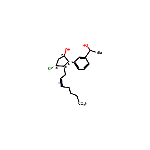 CCCCC(O)c1cccc([C@@H]2[C@@H](C/C=C\CCCC(=O)O)[C@H](Cl)C[C@H]2O)c1